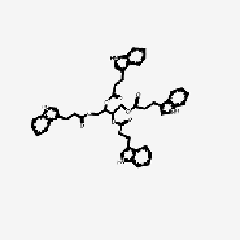 O=C(CCc1c[nH]c2ccccc12)OCC(OC(=O)CCc1c[nH]c2ccccc12)C(COC(=O)CCc1c[nH]c2ccccc12)OC(=O)CCc1c[nH]c2ccccc12